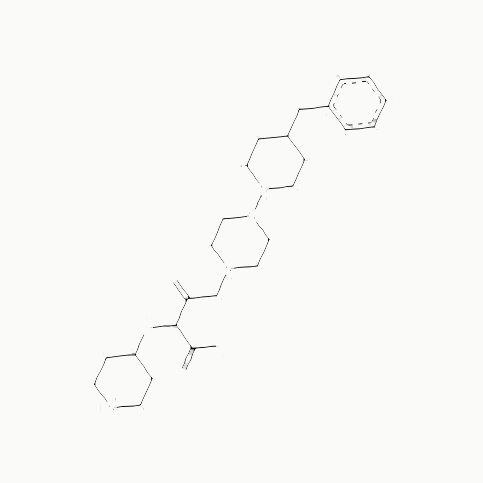 O=C(O)C(OC1CCNCC1)C(=O)CN1CCN(N2CCC(Cc3ccccc3)CC2)CC1